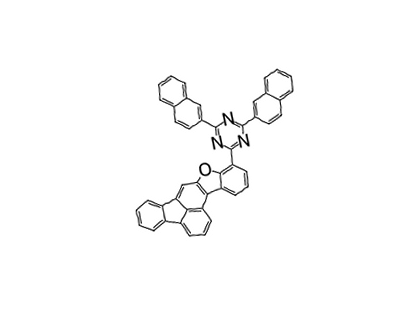 c1ccc2c(c1)-c1cccc3c1c-2cc1oc2c(-c4nc(-c5ccc6ccccc6c5)nc(-c5ccc6ccccc6c5)n4)cccc2c13